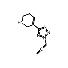 C=C=Cn1nnc(C2=CCCNC2)n1